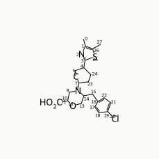 Cc1nc(C2CCC(N3CC(C(=O)O)OCC3Cc3ccc(Cl)cc3)CC2)sc1C